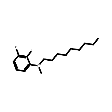 CCCCCCCCCP(C)c1cccc(F)c1F